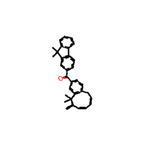 C=C1/C=C\C=C/Cc2ccc(C(=O)c3ccc4c(c3)C(C)(C)c3ccccc3-4)cc2C1(C)C